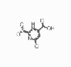 O=C(O)c1cc(Cl)nc(=S(=O)=O)[nH]1